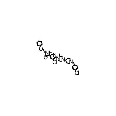 CC1CN(C2CCN(Cc3ccc(Cl)cc3)CC2)CCN1c1ncc(C(=O)NCCOc2ccccc2)cc1Cl